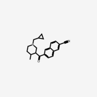 CC1CCN(CC2CC2)CC1C(=O)c1ccc2cc(C#N)ccc2c1